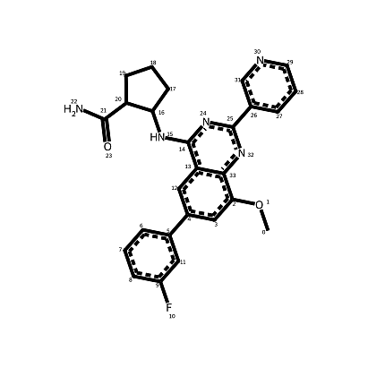 COc1cc(-c2cccc(F)c2)cc2c(NC3CCCC3C(N)=O)nc(-c3cccnc3)nc12